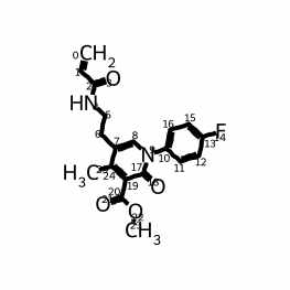 C=CC(=O)NCCc1cn(-c2ccc(F)cc2)c(=O)c(C(=O)OC)c1C